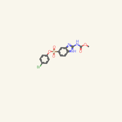 COC(=O)Nc1nc2cc(S(=O)(=O)Oc3ccc(Br)cc3)ccc2[nH]1